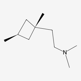 CN(C)CC[C@]1(C)C[C@@H](C)C1